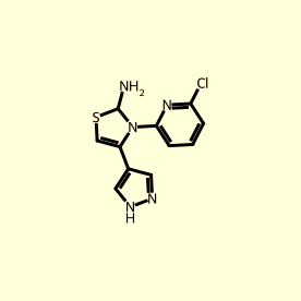 NC1SC=C(c2cn[nH]c2)N1c1cccc(Cl)n1